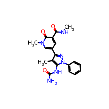 CNC(=O)c1cc(-c2nn(-c3ccccc3)c(NC(N)=O)c2C)cn(C)c1=O